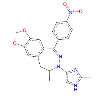 Cc1nc(N2N=C(c3ccc([N+](=O)[O-])cc3)c3cc4c(cc3CC2C)OCO4)c[nH]1